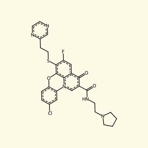 O=C(NCCN1CCCC1)c1cn2c3c(c(SCCc4cnccn4)c(F)cc3c1=O)Oc1ccc(Cl)cc1-2